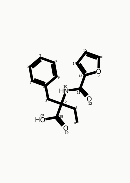 CCC(Cc1ccccc1)(NC(=O)c1ccco1)C(=O)O